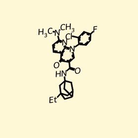 CCC12CC3CC(NC(=O)c4cn(-c5ccc(F)cc5Cl)c5nc(N(C)C)ccc5c4=O)(CC3C1)C2